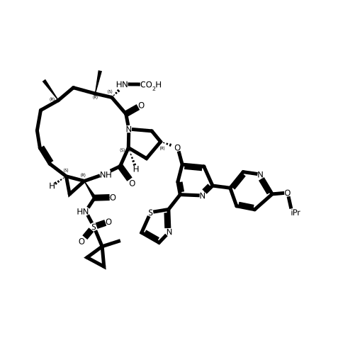 CC(C)Oc1ccc(-c2cc(O[C@@H]3C[C@H]4C(=O)N[C@]5(C(=O)NS(=O)(=O)C6(C)CC6)C[C@H]5C=CCC[C@@H](C)C[C@@H](C)[C@H](NC(=O)O)C(=O)N4C3)cc(-c3nccs3)n2)cn1